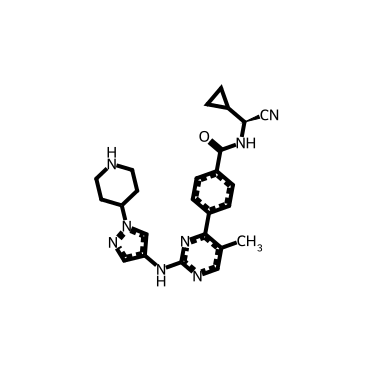 Cc1cnc(Nc2cnn(C3CCNCC3)c2)nc1-c1ccc(C(=O)N[C@H](C#N)C2CC2)cc1